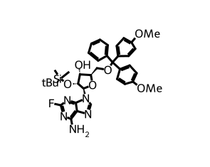 COc1ccc(C(OC[C@H]2O[C@@H](n3cnc4c(N)nc(F)nc43)[C@H](O[Si](C)(C)C(C)(C)C)[C@@H]2O)(c2ccccc2)c2ccc(OC)cc2)cc1